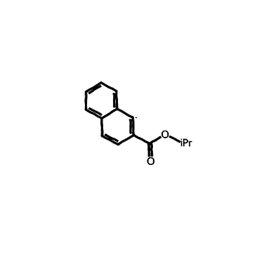 CC(C)OC(=O)c1[c]c2ccccc2cc1